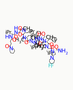 CC(C)C[C@H](N(C)C(=O)[C@H](CC(C)C)N(C)C(=O)[C@H](CC(C)C)N(C)C(=O)CNC(=O)C(NC(=O)CCC(=O)N1CCCCC1)C(C)C)N(C)[C@@H](Cc1ccccc1)C(=O)N[C@@H]([C@@H](C)O)N(C)[C@@H](Cc1ccccc1)C(=O)N(C)[C@@H](CC(C)C)C(=O)N1C[C@H](N2CCC(F)(F)CC2)C[C@H]1C(N)=O